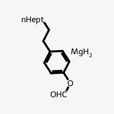 CCCCCCCCCc1ccc(OC=O)cc1.[MgH2]